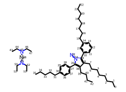 CCCCCCCCC1=C(c2cccc(CCCCCCCC)c2)[N+](=[N-])C(c2ccc(CCCCC)cc2)=C1CCCC.CC[N](CC)[Ni][N](CC)CC